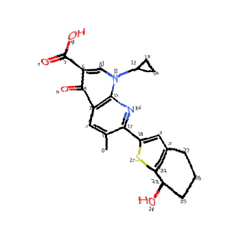 Cc1cc2c(=O)c(C(=O)O)cn(C3CC3)c2nc1-c1cc2c(s1)C(O)CCC2